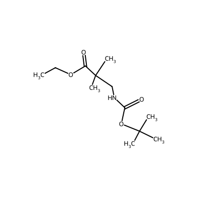 CCOC(=O)C(C)(C)CNC(=O)OC(C)(C)C